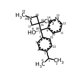 CC(C)c1ccc([C@](O)(c2cccnc2)C2(C)CN(C)C2)cc1